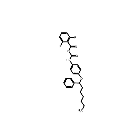 CCCCCCC(Oc1ccc(NC(=O)NC(=O)c2c(F)cccc2F)cc1)c1ccccc1